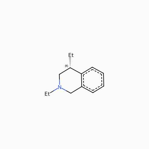 CC[C@H]1CN(CC)Cc2ccccc21